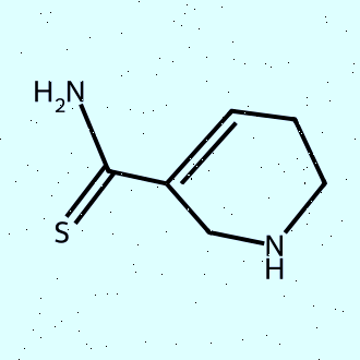 NC(=S)C1=CCCNC1